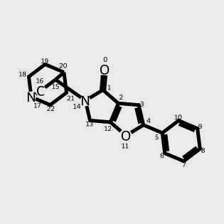 O=C1c2cc(-c3ccccc3)oc2CN1C1CN2CCC1CC2